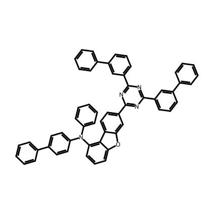 c1ccc(-c2ccc(N(c3ccccc3)c3cccc4oc5cc(-c6nc(-c7cccc(-c8ccccc8)c7)nc(-c7cccc(-c8ccccc8)c7)n6)ccc5c34)cc2)cc1